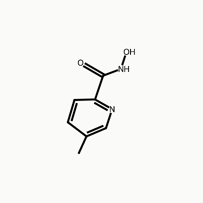 Cc1ccc(C(=O)NO)nc1